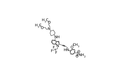 COCCN(CCOC)C1CCC(Nc2cccc3c2cc(C#CCNc2ccc(S(N)(=O)=O)cc2OC)n3CC(F)(F)F)CC1